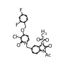 CC(=O)n1c(=O)n(S(C)(=O)=O)c2cc(Cn3ccc(OCc4ccc(F)cc4F)c(Cl)c3=O)ccc21